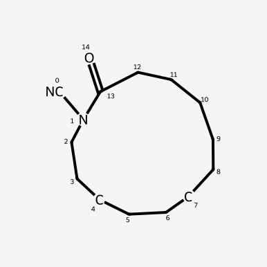 N#CN1CCCCCCCCCCCC1=O